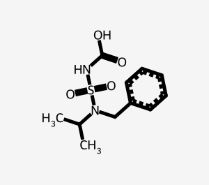 CC(C)N(Cc1ccccc1)S(=O)(=O)NC(=O)O